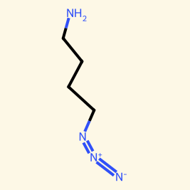 [N-]=[N+]=NCCCCN